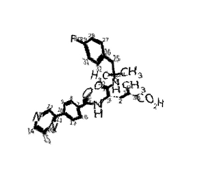 C[C@@H](C[C@H](NC(=O)c1ccc(-c2cnccn2)cc1)C(=O)NC(C)(C)Cc1ccc(F)cc1)C(=O)O